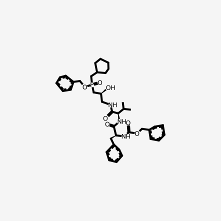 CC(C)[C@@H](NC(=O)[C@H](Cc1ccccc1)NC(=O)OCc1ccccc1)C(=O)NC[C@H](O)CP(=O)(CC1CCCCC1)OCc1ccccc1